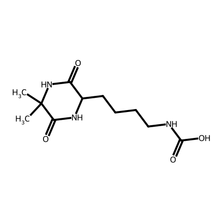 CC1(C)NC(=O)C(CCCCNC(=O)O)NC1=O